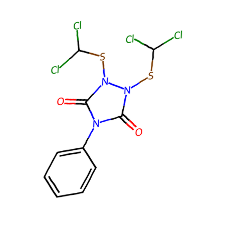 O=c1n(-c2ccccc2)c(=O)n(SC(Cl)Cl)n1SC(Cl)Cl